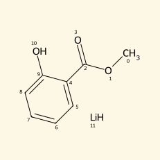 COC(=O)c1ccccc1O.[LiH]